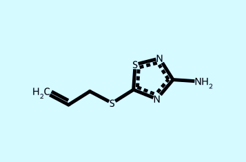 C=CCSc1nc(N)ns1